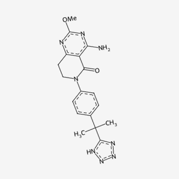 COc1nc(N)c2c(n1)CCN(c1ccc(C(C)(C)c3nnn[nH]3)cc1)C2=O